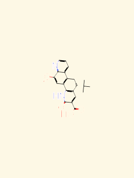 COc1cc2c(c3cccnc13)C[C@H](C(C)(C)C)c1cc(C(=O)O)c(=O)[nH]c1-2